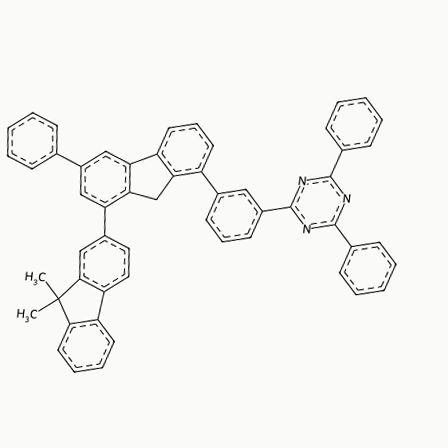 CC1(C)c2ccccc2-c2ccc(-c3cc(-c4ccccc4)cc4c3Cc3c(-c5cccc(-c6nc(-c7ccccc7)nc(-c7ccccc7)n6)c5)cccc3-4)cc21